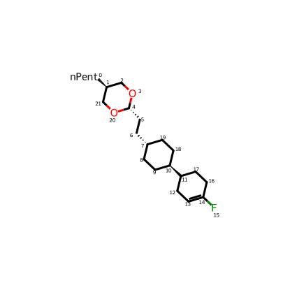 CCCCC[C@H]1CO[C@H](CC[C@H]2CC[C@H](C3CC=C(F)CC3)CC2)OC1